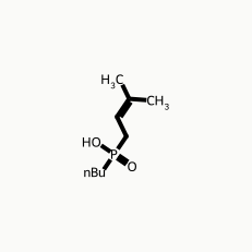 CCCCP(=O)(O)CC=C(C)C